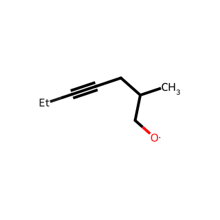 CCC#CCC(C)C[O]